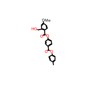 COc1ccc(C(=O)Oc2ccc(C(=O)Oc3ccc(C)cc3)cc2)c(CO)c1